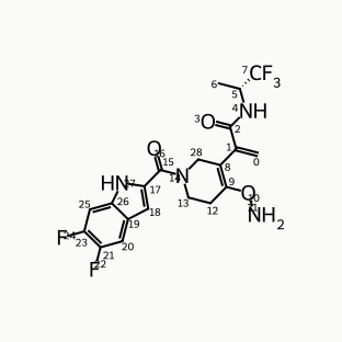 C=C(C(=O)N[C@H](C)C(F)(F)F)C1=C(ON)CCN(C(=O)c2cc3cc(F)c(F)cc3[nH]2)C1